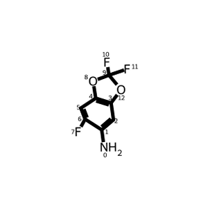 Nc1cc2c(cc1F)OC(F)(F)O2